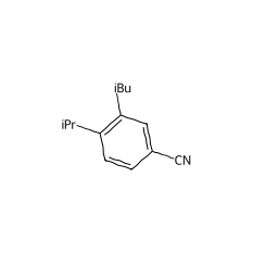 CCC(C)c1cc(C#N)ccc1C(C)C